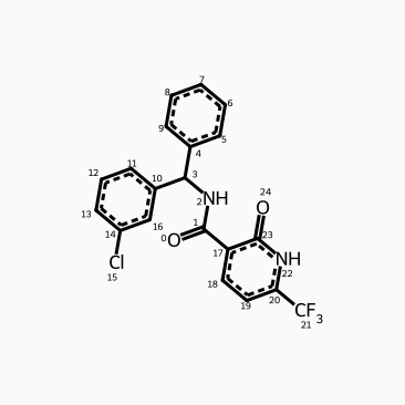 O=C(NC(c1ccccc1)c1cccc(Cl)c1)c1ccc(C(F)(F)F)[nH]c1=O